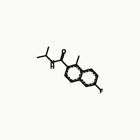 Cc1c(C(=O)NC(C)C)ccc2cc(F)ccc12